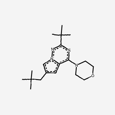 CC(C)(C)Cc1cc2c(N3CCOCC3)nc(C(C)(C)C)nn2c1